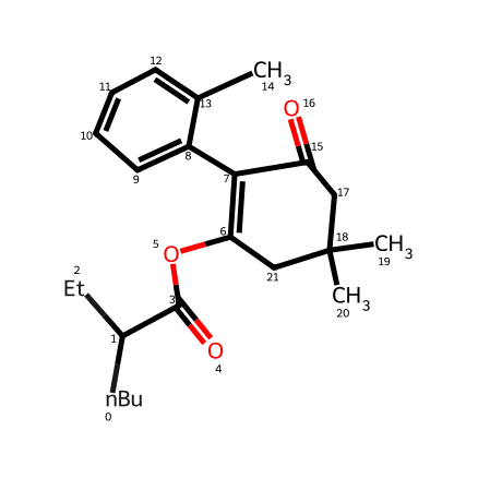 CCCCC(CC)C(=O)OC1=C(c2ccccc2C)C(=O)CC(C)(C)C1